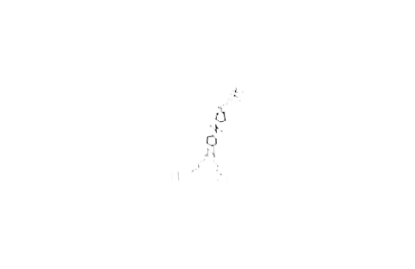 CCCCCCN(CCCCCC)c1ccc(/N=N/c2cc[n+](CCCS(=O)(=O)O)cc2)cc1